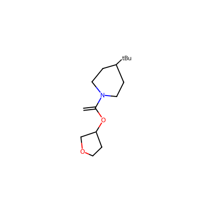 C=C(OC1CCOC1)N1CCC(C(C)(C)C)CC1